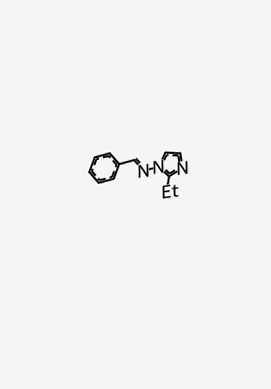 CCc1nccn1/N=C/c1ccccc1